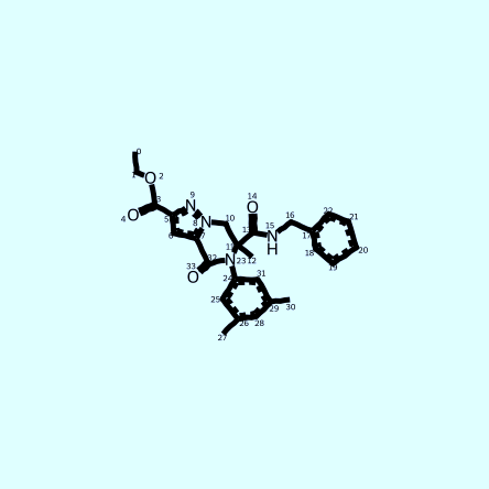 CCOC(=O)c1cc2n(n1)CC(C)(C(=O)NCc1ccccc1)N(c1cc(C)cc(C)c1)C2=O